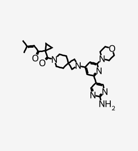 CC(C)=CC(=O)C1(C(=O)N2CCC3(CC2)CN(c2cc(-c4cnc(N)nc4)nc(N4CCOCC4)c2)C3)CC1